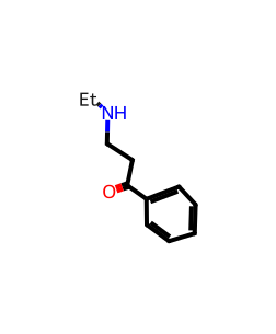 CCNCCC(=O)c1ccccc1